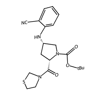 CC(C)(C)OC(=O)N1C[C@@H](Nc2ccccc2C#N)C[C@H]1C(=O)N1CCSC1